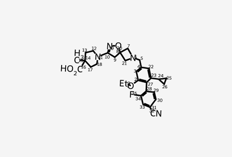 CCOc1cc(CN2CC3(CC(N4CCC(C)(C(=O)O)CC4)=NO3)C2)cc(C2CC2)c1-c1ccc(C#N)cc1F